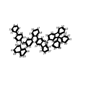 c1ccc(-c2ccc(N(c3cccc(-c4ccccc4-c4ccc5c6ccccc6n(-c6ccc7c(c6)C(c6ccccc6)(c6ccccc6)c6ccccc6-7)c5c4)c3)c3cccc4ccccc34)cc2)cc1